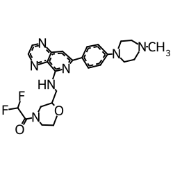 CN1CCN(c2ccc(-c3cc4nccnc4c(NCC4CN(C(=O)C(F)F)CCO4)n3)cc2)CC1